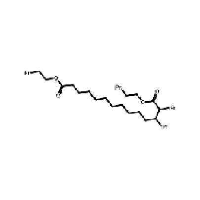 CC(C)CCOC(=O)CCCCCCCCCCC(C(C)C)C(C(=O)OCCC(C)C)C(C)C